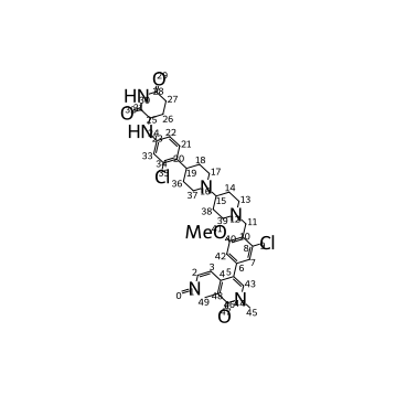 C=N/C=C\c1c(-c2cc(Cl)c(CN3CCC(N4CCC(c5ccc(NC6CCC(=O)NC6=O)cc5Cl)CC4)CC3)c(OC)c2)cn(C)c(=O)c1C